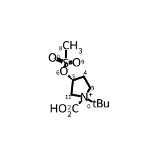 CC(C)(C)[N+]1(C(=O)O)CC[C@H](OS(C)(=O)=O)C1